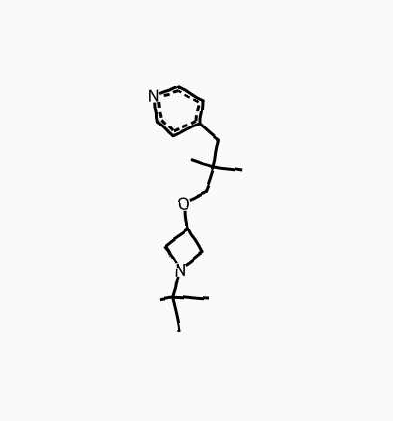 CC(C)(COC1CN(C(C)(C)C)C1)Cc1ccncc1